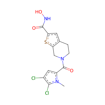 Cn1c(C(=O)N2CCc3cc(C(=O)NO)sc3C2)cc(Cl)c1Cl